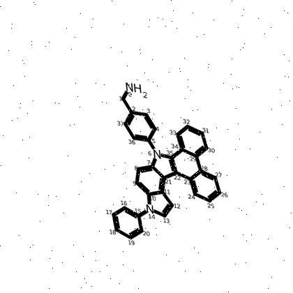 NCc1ccc(-n2c3ccc4c(ccn4-c4ccccc4)c3c3c4ccccc4c4ccccc4c32)cc1